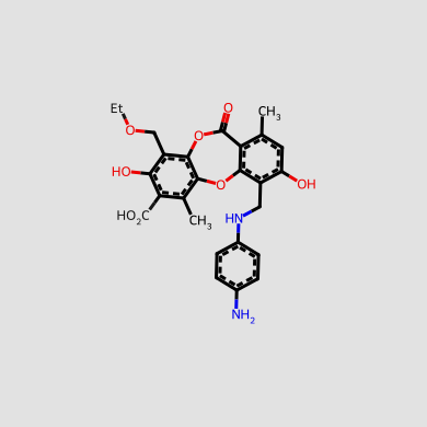 CCOCc1c(O)c(C(=O)O)c(C)c2c1OC(=O)c1c(C)cc(O)c(CNc3ccc(N)cc3)c1O2